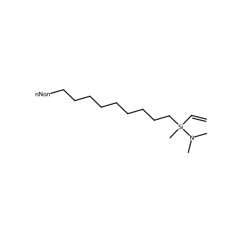 C=C[Si](C)(CCCCCCCCCCCCCCCCCC)N(C)C